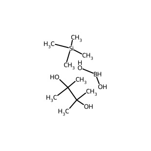 CC(C)(O)C(C)(C)O.C[Si](C)(C)C.OBO